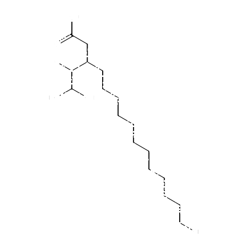 CCCCCCCCCCCCCC(CC(=O)O)C(C)C(O)O